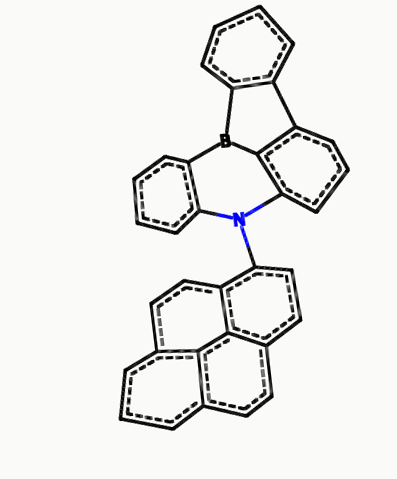 c1ccc2c(c1)B1c3ccccc3N(c3ccc4ccc5cccc6ccc3c4c56)c3cccc-2c31